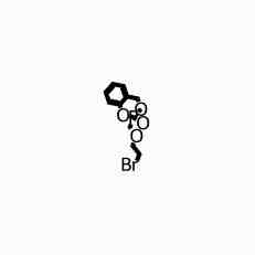 O=P1(COCCBr)OCc2ccccc2O1